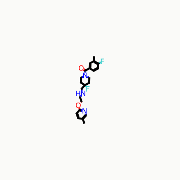 Cc1ccc(OCCNCC2(F)CCN(C(=O)c3ccc(F)c(C)c3)CC2)nc1